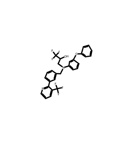 OC(CN(Cc1cccc(-c2ncccc2C(F)(F)F)c1)c1cccc(Oc2ccccc2)c1)C(F)(F)F